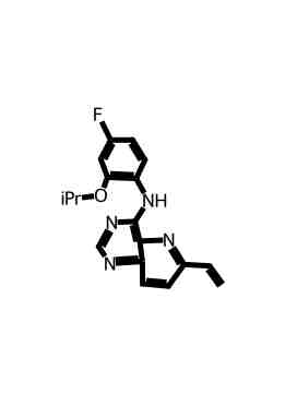 C=Cc1ccc2ncnc(Nc3ccc(F)cc3OC(C)C)c2n1